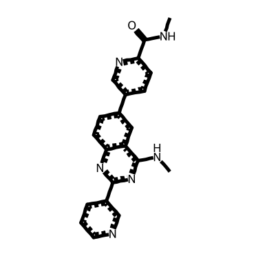 CNC(=O)c1ccc(-c2ccc3nc(-c4cccnc4)nc(NC)c3c2)cn1